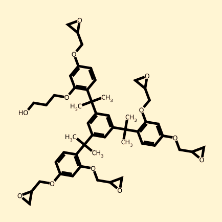 CC(C)(c1cc(C(C)(C)c2ccc(OCC3CO3)cc2OCC2CO2)cc(C(C)(C)c2ccc(OCC3CO3)cc2OCC2CO2)c1)c1ccc(OCC2CO2)cc1OCCCO